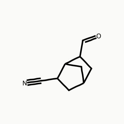 N#CC1CC2CC(C=O)C1C2